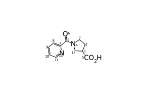 O=C(O)C1CCN(C(=O)c2ccccn2)C1